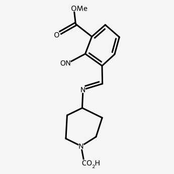 COC(=O)c1cccc(C=NC2CCN(C(=O)O)CC2)c1N=O